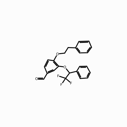 O=Cc1ccc(OCCc2ccccc2)c(OC(c2ccccc2)C(F)(F)F)c1